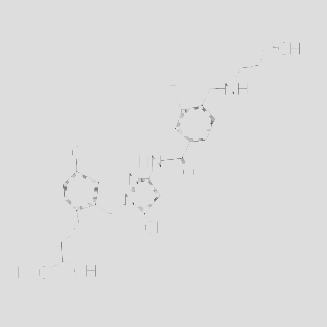 COCCNCc1ccc(C(=O)Nc2cc(C)n(Cc3cc(Cl)ccc3OCC(C)C)n2)cc1F